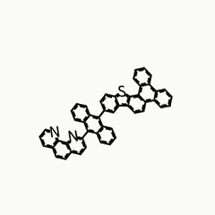 c1cnc2c(c1)ccc1ccc(-c3c4ccccc4c(-c4ccc5sc6c(ccc7c8ccccc8c8ccccc8c76)c5c4)c4ccccc34)nc12